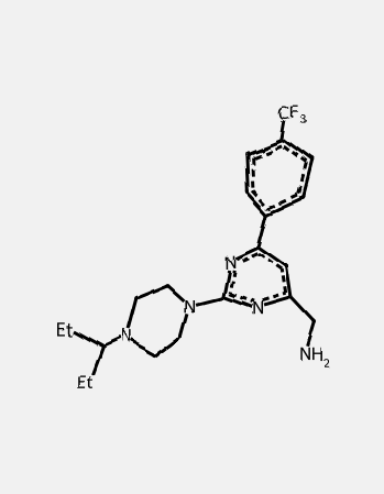 CCC(CC)N1CCN(c2nc(CN)cc(-c3ccc(C(F)(F)F)cc3)n2)CC1